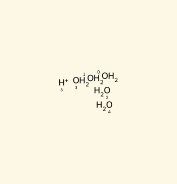 O.O.O.O.O.[H+]